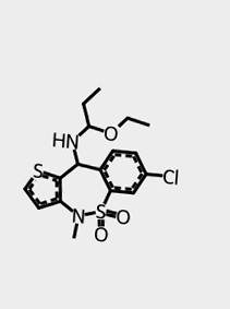 CCOC(CC)NC1c2ccc(Cl)cc2S(=O)(=O)N(C)c2ccsc21